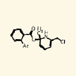 CC(=O)c1ccccc1C(=O)OC1(C)C=CC=C(CCl)N1